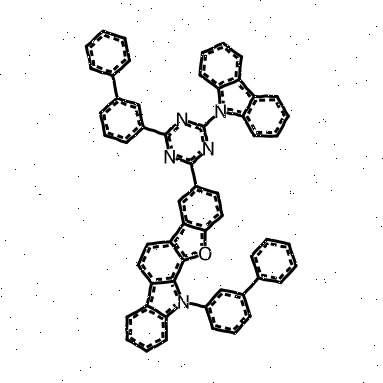 c1ccc(-c2cccc(-c3nc(-c4ccc5oc6c(ccc7c8ccccc8n(-c8cccc(-c9ccccc9)c8)c76)c5c4)nc(-n4c5ccccc5c5ccccc54)n3)c2)cc1